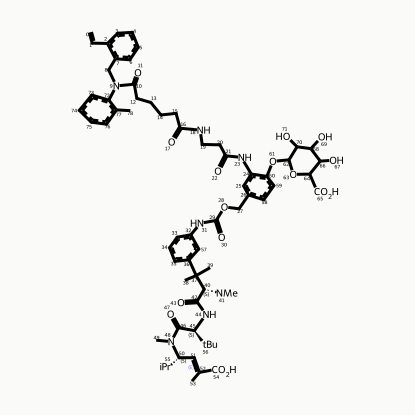 C=Cc1ccccc1CN(C(=O)CCCCC(=O)NCCC(=O)Nc1cc(COC(=O)Nc2cccc(C(C)(C)[C@H](NC)C(=O)N[C@H](C(=O)N(C)[C@H](/C=C(\C)C(=O)O)C(C)C)C(C)(C)C)c2)ccc1OC1OC(C(=O)O)C(O)C(O)C1O)c1ccccc1C